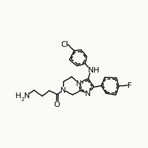 NCCCC(=O)N1CCn2c(nc(-c3ccc(F)cc3)c2Nc2ccc(Cl)cc2)C1